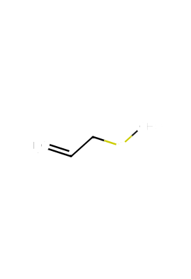 C=CCSC=O